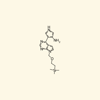 C[Si](C)(C)CCOCn1ccc2c(-c3c[nH]cc3N)ncnc21